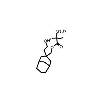 O=C(OCC1(CCO)CC2CCCC(C2)C1)C(F)(F)S(=O)(=O)O